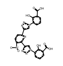 O=C(O)c1cccc(-n2cc(-c3ccc([N+](=O)[O-])c(-c4cn(-c5cccc(C(=O)O)c5O)nn4)n3)nn2)c1O